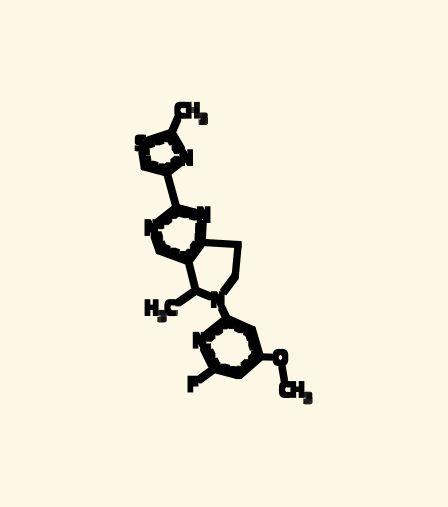 COc1cc(F)nc(N2CCc3nc(-c4csc(C)n4)ncc3C2C)c1